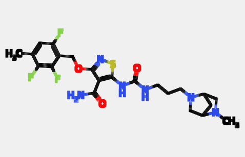 Cc1cc(F)c(COc2nsc(NC(=O)NCCCN3CC4CC3CN4C)c2C(N)=O)c(F)c1F